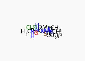 COC1CN(c2nc(-c3nc(C)c(C)n3C)c(C(=O)O)s2)CCC1NC(=O)c1[nH]c(C)c(Cl)c1Cl